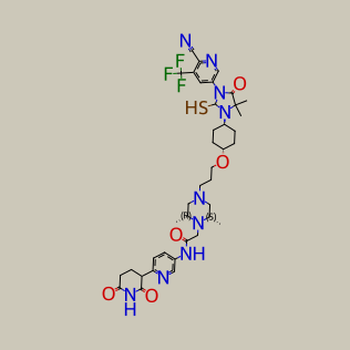 C[C@@H]1CN(CCCO[C@H]2CC[C@H](N3C(S)N(c4cnc(C#N)c(C(F)(F)F)c4)C(=O)C3(C)C)CC2)C[C@H](C)N1CC(=O)Nc1ccc(C2CCC(=O)NC2=O)nc1